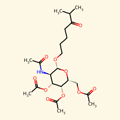 CC(=O)N[C@H]1[C@H](OCCCCC(=O)C(C)C)O[C@H](COC(C)=O)[C@H](OC(C)=O)[C@@H]1OC(C)=O